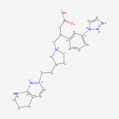 O=C(O)CC(CN1CCC(CCc2ccc3c(n2)NCCC3)C1)c1cccc(-n2ccnn2)c1